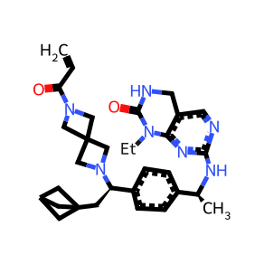 C=CC(=O)N1CC2(C1)CN([C@H](CC13CC(C1)C3)c1ccc([C@H](C)Nc3ncc4c(n3)N(CC)C(=O)NC4)cc1)C2